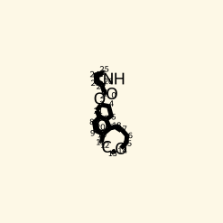 O=C(OC1CCC2C3C=CC4CCCOCCC=CC42OC13)c1ccc[nH]1